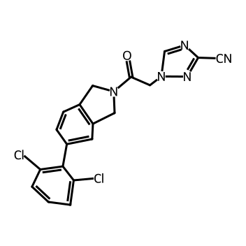 N#Cc1ncn(CC(=O)N2Cc3ccc(-c4c(Cl)cccc4Cl)cc3C2)n1